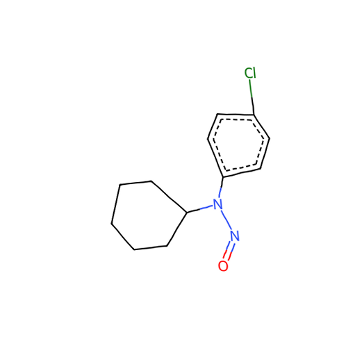 O=NN(c1ccc(Cl)cc1)C1CCCCC1